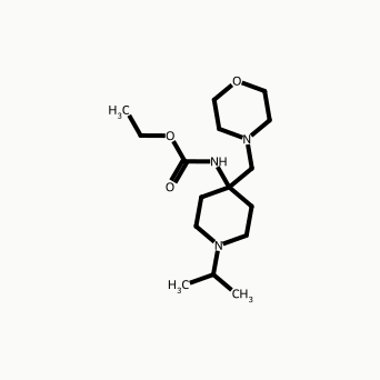 CCOC(=O)NC1(CN2CCOCC2)CCN(C(C)C)CC1